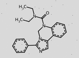 CCN(CC)C(=O)N1Cn2c(cnc2-c2ccccc2)-c2ccccc21